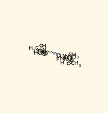 CC[C@@H]1C(=O)N(C)c2cnc(Nc3ccc(/C=C/CCCC(=O)N[C@H](C(=O)O)C(C(C)C)C4CCCC4)cc3F)nc2N1C1CCCC1